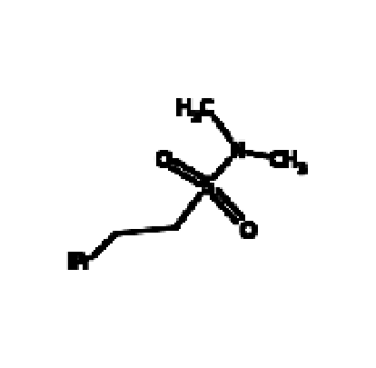 CC(C)CCS(=O)(=O)N(C)C